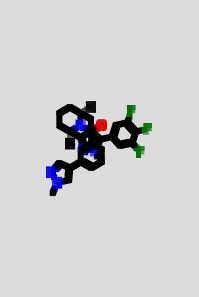 Cn1cc(-c2cccc(C(=O)N3[C@H]4CCC[C@@H]3c3nn(C)c(-c5cc(F)c(F)c(F)c5)c3C4)c2)cn1